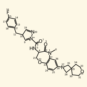 CN1C(=O)C(NC(=O)[N+]2=CC(Cc3ccc(F)cc3)C=N2)COc2ccc(N3CC4(CCOCC4)C3)cc21